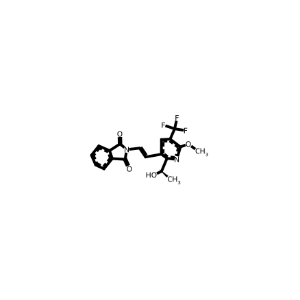 COc1nc([C@@H](C)O)c(/C=C/N2C(=O)c3ccccc3C2=O)cc1C(F)(F)F